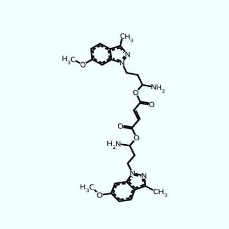 COc1ccc2c(C)nn(CCC(N)OC(=O)/C=C/C(=O)OC(N)CCn3nc(C)c4ccc(OC)cc43)c2c1